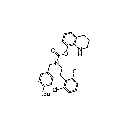 CC(C)(C)c1ccc(CN(CCc2c(Cl)cccc2Cl)C(=O)Oc2cccc3c2NCCC3)cc1